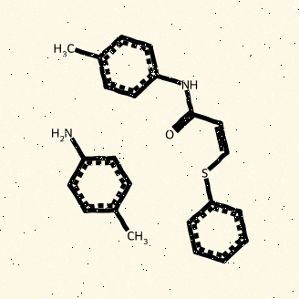 Cc1ccc(N)cc1.Cc1ccc(NC(=O)/C=C\Sc2ccccc2)cc1